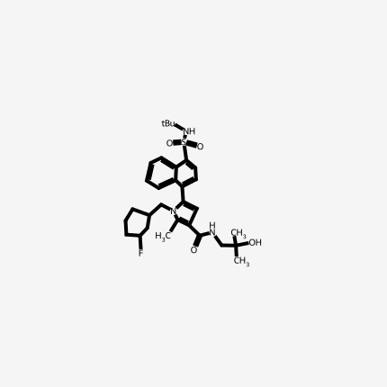 Cc1c(C(=O)NCC(C)(C)O)cc(-c2ccc(S(=O)(=O)NC(C)(C)C)c3ccccc23)n1CC1CCCC(F)C1